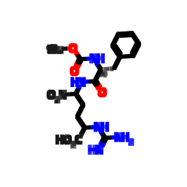 CC(C)(C)OC(=O)N[C@H](Cc1ccccc1)C(=O)NC(CCC(NC(=N)N)C(=O)O)[N+](=O)[O-]